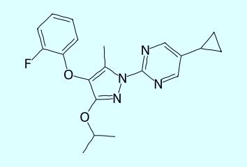 Cc1c(Oc2ccccc2F)c(OC(C)C)nn1-c1ncc(C2CC2)cn1